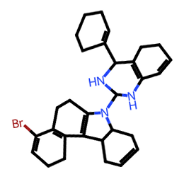 BrC1=CCCC2=C1CCC1=C2C2CC=CCC2N1C1NC2=C(CCC=C2)C(C2=CCCCC2)N1